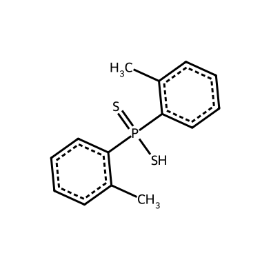 Cc1ccccc1P(=S)(S)c1ccccc1C